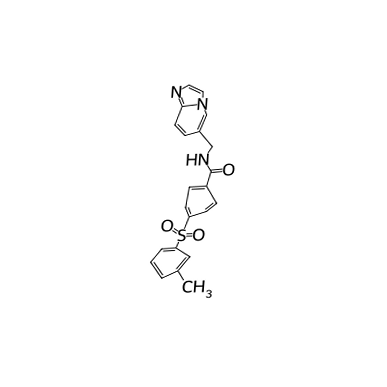 Cc1cccc(S(=O)(=O)c2ccc(C(=O)NCc3ccc4nccn4c3)cc2)c1